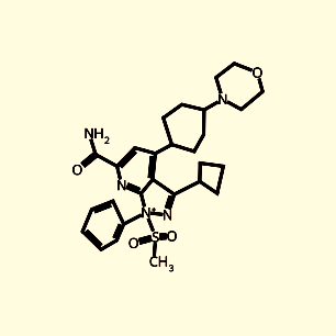 CS(=O)(=O)[N+]1(c2ccccc2)N=C(C2CCC2)c2c(C3CCC(N4CCOCC4)CC3)cc(C(N)=O)nc21